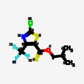 CC(C)COC(=S)c1sc(Cl)nc1C(F)(F)F